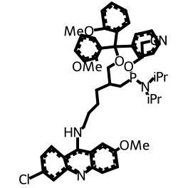 COc1ccc2nc3cc(Cl)ccc3c(NCCCCC(COC(c3ccccc3)(c3ccccc3OC)c3ccccc3OC)CP(OCCC#N)N(C(C)C)C(C)C)c2c1